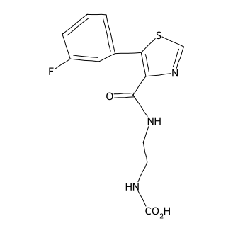 O=C(O)NCCNC(=O)c1ncsc1-c1cccc(F)c1